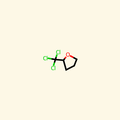 ClC(Cl)(Cl)C1CCCO1